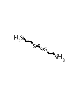 [SiH3]CCSSSSCC[SiH3]